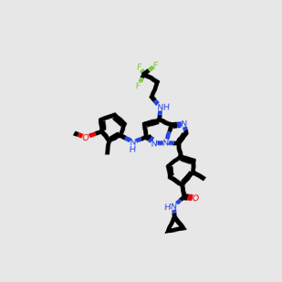 COc1cccc(Nc2cc(NCCC(F)(F)F)c3ncc(-c4ccc(C(=O)NC5CC5)c(C)c4)n3n2)c1C